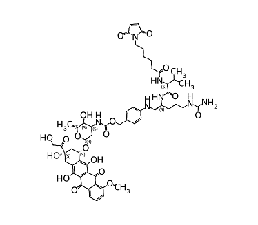 COc1cccc2c1C(=O)c1c(O)c3c(c(O)c1C2=O)C[C@@](O)(C(=O)CO)C[C@@H]3O[C@H]1C[C@H](NC(=O)OCc2ccc(NC[C@H](CCCNC(N)=O)NC(=O)[C@@H](NC(=O)CCCCCN3C(=O)C=CC3=O)C(C)C)cc2)[C@H](O)[C@H](C)O1